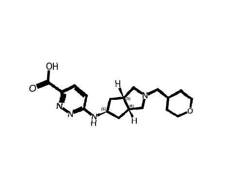 O=C(O)c1ccc(N[C@H]2C[C@@H]3CN(CC4CCOCC4)C[C@@H]3C2)nn1